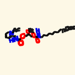 CCCCCCCCCCCCCCCCCCNC(=O)OCC(COC(=O)NCC1=CC=CCN1C(C)=O)OCC